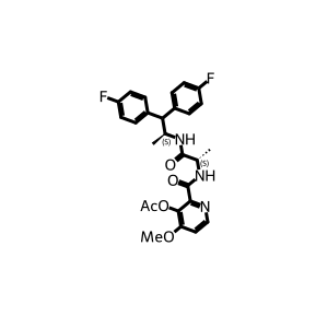 COc1ccnc(C(=O)N[C@@H](C)C(=O)N[C@@H](C)C(c2ccc(F)cc2)c2ccc(F)cc2)c1OC(C)=O